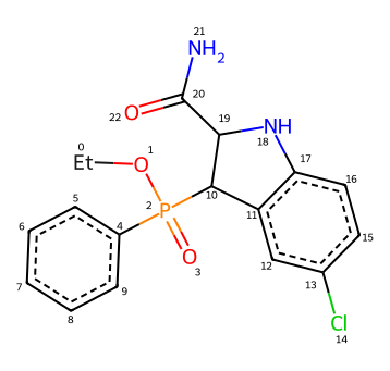 CCOP(=O)(c1ccccc1)C1c2cc(Cl)ccc2NC1C(N)=O